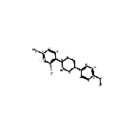 CCc1ccc(C2CCC(c3ccc(F)nc3F)CC2)cc1